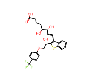 O=C(O)CCC[C@H](O)[C@H](O)/C=C/c1c([C@@H](O)COc2ccc(C(F)(F)F)cc2)sc2ccccc12